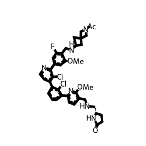 COc1cc(-c2nccc(-c3cccc(-c4ccc(CNC[C@@H]5CCC(=O)N5)c(OC)n4)c3Cl)c2Cl)cc(F)c1CNC1CC2(C1)CN(C(C)=O)C2